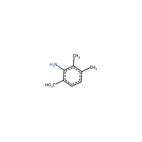 Cc1ccc(C(=O)O)c(N)c1C